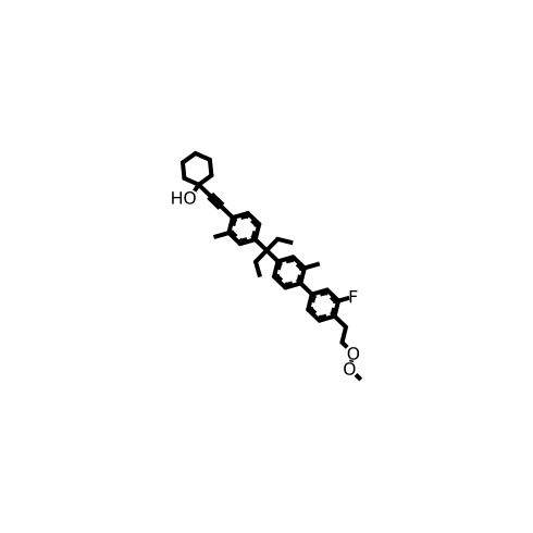 CCC(CC)(c1ccc(C#CC2(O)CCCCC2)c(C)c1)c1ccc(-c2ccc(CCOOC)c(F)c2)c(C)c1